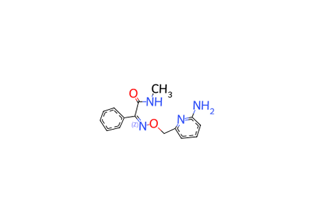 CNC(=O)/C(=N\OCc1cccc(N)n1)c1ccccc1